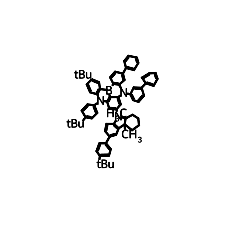 CC(C)(C)c1ccc(-c2ccc3c(c2)C2(C)CCCCC2(C)N3c2cc3c4c(c2)N(c2cccc(-c5ccccc5)c2)c2cc(-c5ccccc5)ccc2B4c2cc(C(C)(C)C)ccc2N3c2ccc(C(C)(C)C)cc2)cc1